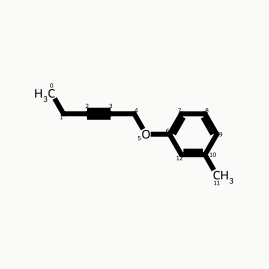 CCC#CCOc1cccc(C)c1